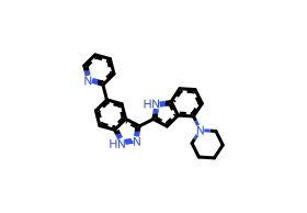 c1ccc(-c2ccc3[nH]nc(-c4cc5c(N6CCCCC6)cccc5[nH]4)c3c2)nc1